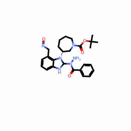 CC(C)(C)OC(=O)N1CCCC[C@@H](N2c3c(CN=O)cccc3NC2N(N)C(=O)c2ccccc2)C1